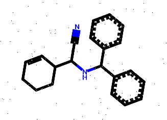 N#CC(NC(c1ccccc1)c1ccccc1)C1C=CCCC1